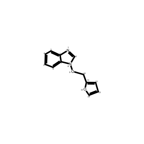 [c]1nc2ccccc2n1OCc1ccco1